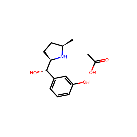 CC(=O)O.C[C@@H]1CC[C@H]([C@@H](O)c2cccc(O)c2)N1